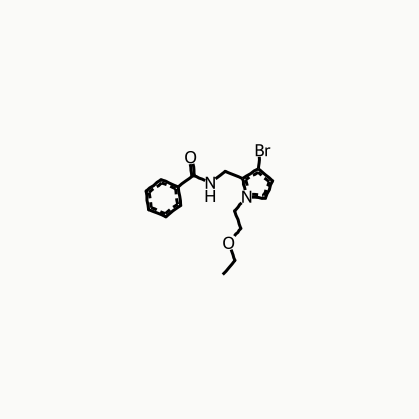 CCOCCn1ccc(Br)c1CNC(=O)c1ccccc1